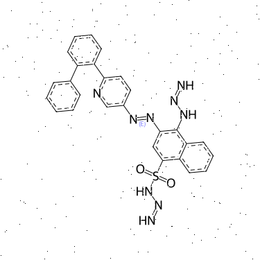 N=NNc1c(/N=N/c2ccc(-c3ccccc3-c3ccccc3)nc2)cc(S(=O)(=O)NN=N)c2ccccc12